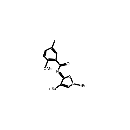 CCCCc1cn(C(C)(C)C)sc1=NC(=O)c1cc(I)ccc1OC